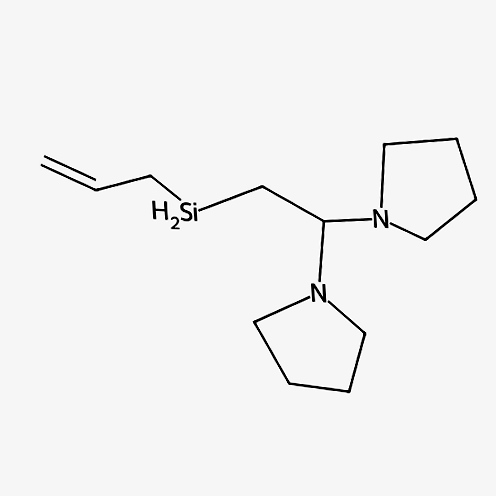 C=CC[SiH2]CC(N1CCCC1)N1CCCC1